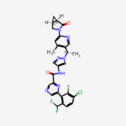 Cc1cc(N2C[C@H]3C[C@H]3C2=O)ncc1[C@H](C)n1cc(NC(=O)c2cncc(-c3c(C(F)F)ccc(Cl)c3F)n2)cn1